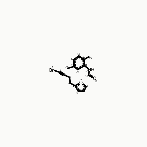 BrC#CCCc1ccco1.Cc1ccc(C)c(NC=O)c1